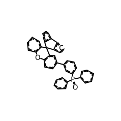 O=P(c1ccccc1)(c1ccccc1)c1cccc(-c2ccc3c(c2)C2(c4ccccc4O3)c3ccccc3-c3ccccc32)c1